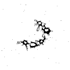 N#Cc1ccc(N2CCC(Sc3c(F)cc(COc4cccc5c4CN(C4CCC(=O)NC4=O)C5=O)cc3F)CC2)c(F)c1